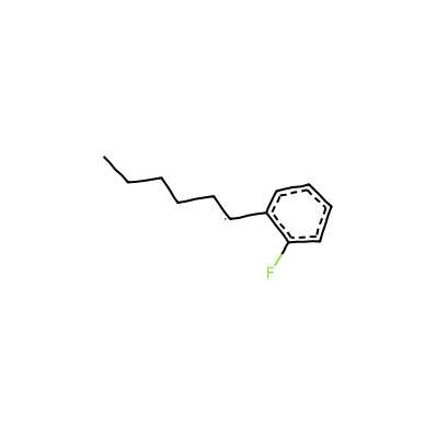 CCCCC[CH]c1ccccc1F